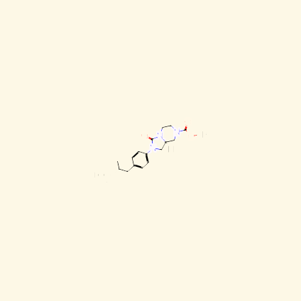 CCOC(=O)[C@H](C)Cc1ccc(N2C[C@@H]3CN(C(=O)OC(C)(C)C)CCN3C2=O)cc1